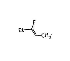 [CH2]C=C(F)CC